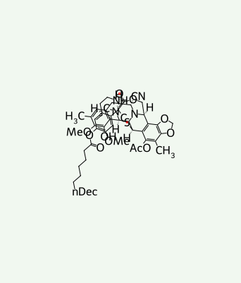 CCCCCCCCCCCCCCCC(=O)Oc1cc2c(cc1OC)[C@@]1(CS[C@@H]3c4c(OC(C)=O)c(C)c5c(c4[C@H](COC1=O)N1C3[C@H]3c4c(cc(C)c(OC)c4O)C[C@@H]([C@@H]1C#N)N3C)OCO5)NCC2